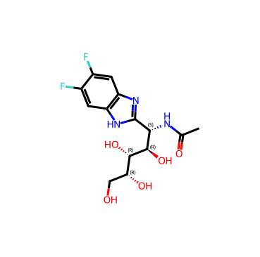 CC(=O)N[C@@H](c1nc2cc(F)c(F)cc2[nH]1)[C@@H](O)[C@@H](O)[C@H](O)CO